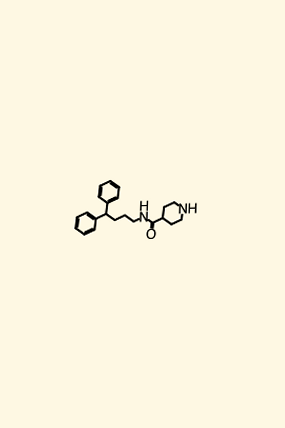 O=C(NCCCC(c1ccccc1)c1ccccc1)C1CCNCC1